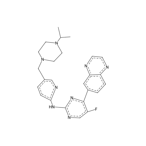 CC(C)N1CCN(Cc2ccc(Nc3ncc(F)c(-c4ccc5nccnc5c4)n3)nc2)CC1